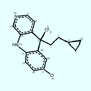 FC(F)(F)C1(CCC2CC2)c2ccncc2Nc2ccc(Cl)cc21